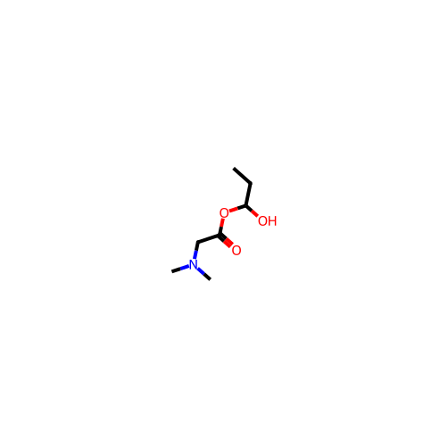 CCC(O)OC(=O)CN(C)C